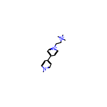 C[n+]1ccc(-c2cc[n+](CC[N+](C)(C)C)cc2)cc1